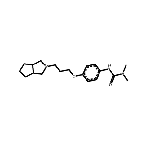 CN(C)C(=O)Nc1ccc(OCCCN2CC3CCCC3C2)cc1